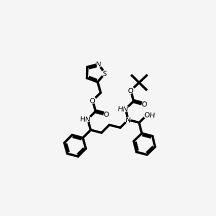 CC(C)(C)OC(=O)NN(CCCC(NC(=O)OCc1ccns1)c1ccccc1)C(O)c1ccccc1